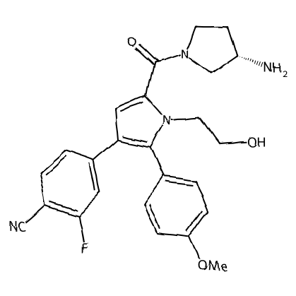 COc1ccc(-c2c(-c3ccc(C#N)c(F)c3)cc(C(=O)N3CC[C@H](N)C3)n2CCO)cc1